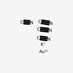 [Au+3].[C-]#N.[C-]#N.[C-]#N.[C-]#N.[K+]